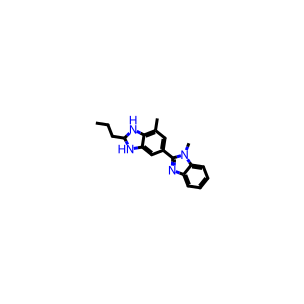 CCCC1Nc2cc(-c3nc4ccccc4n3C)cc(C)c2N1